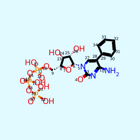 Nc1nc(=O)n([C@@H]2O[C@H](COP(=O)(O)OP(=O)(O)OP(=O)(O)O)[C@H](O)[C@@H]2O)cc1-c1ccccc1